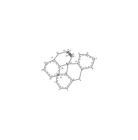 c1ccc2c(c1)Cc1ccccc1[Si]21c2ccccc2Cc2ccccc21